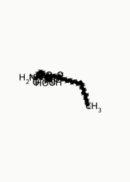 CCCCCCCC/C=C\CCCCCCCC(=O)OCC1O[C@@H]([n+]2cccc(C(N)=O)c2)[C@H](O)[C@@H]1O